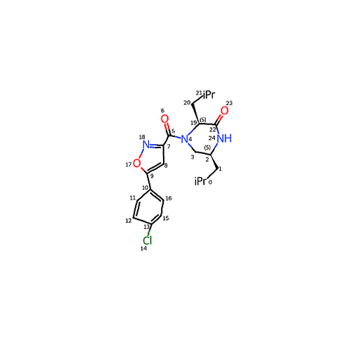 CC(C)C[C@H]1CN(C(=O)c2cc(-c3ccc(Cl)cc3)on2)[C@@H](CC(C)C)C(=O)N1